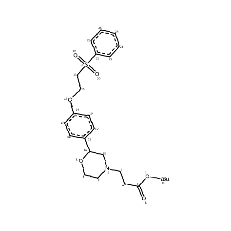 CC(C)(C)OC(=O)CCN1CCOC(c2ccc(OCCS(=O)(=O)c3ccccc3)cc2)C1